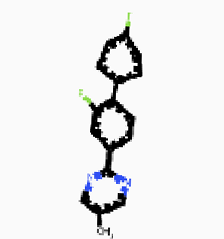 Cc1cnc(-c2ccc(-c3ccc(F)cc3)c(F)c2)nc1